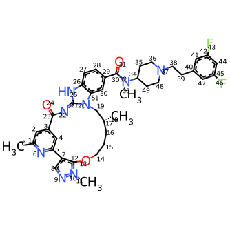 Cc1cc2cc(n1)-c1cnn(C)c1OCCC[C@@H](C)CN1/C(=N/C2=O)Nc2ccc(C(=O)N(C)C3CCN(CCc4cc(F)cc(F)c4)CC3)cc21